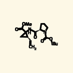 C=C[C@@H]1CC1(NC(=O)[C@@H]1CCCN1C(=O)OC(C)(C)C)C(=O)OC